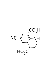 N#Cc1cc(C(=O)O)c2c(c1)C(C(=O)O)CCN2